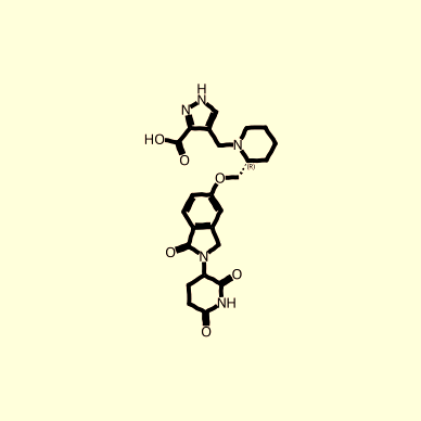 O=C1CCC(N2Cc3cc(OC[C@H]4CCCCN4Cc4c[nH]nc4C(=O)O)ccc3C2=O)C(=O)N1